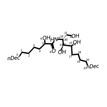 CCCCCCCCCCCCCCC(O)C(=O)N[C@H](CO)[C@H](O)C(O)CCCCCCCCCCCCCC